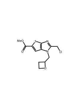 COC(=O)c1cc2c(nc(CCl)n2CC2CCO2)s1